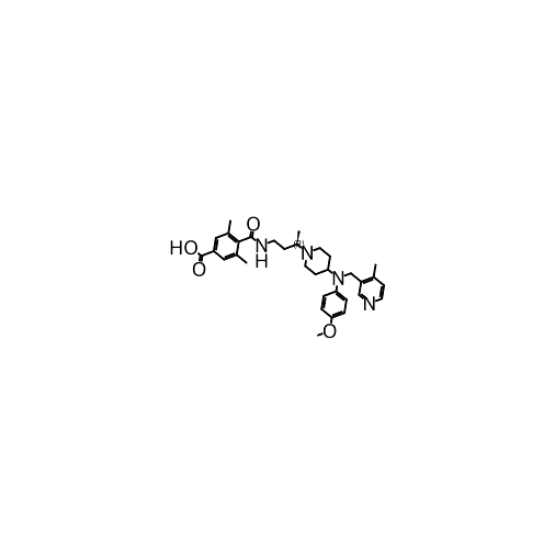 COc1ccc(N(Cc2cnccc2C)C2CCN([C@H](C)CCNC(=O)c3c(C)cc(C(=O)O)cc3C)CC2)cc1